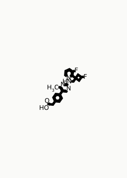 Cc1nc(NCC2(c3ncccc3F)CC(F)C2)ncc1-c1ccc(CC(=O)O)cc1